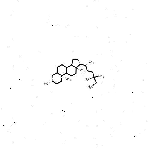 COC(C)(C)CC[C@@H](C)[C@H]1CCC2C3CC=C4C[C@@H](O)CC[C@]4(C)C3CC[C@@]21C